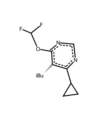 CC[C@@H](C)c1c(OC(F)F)ncnc1C1CC1